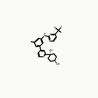 Cc1cc(Nc2nccc(C(F)(F)F)n2)cc(-c2ccnc([C@]3(O)CC[C@H](O)CC3)c2)c1